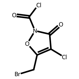 O=C(Cl)n1oc(CBr)c(Cl)c1=O